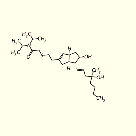 CCCC[C@](C)(O)C/C=C/[C@@H]1[C@H]2CC(CCSCC(=O)N(C(C)C)C(C)C)=C[C@H]2C[C@H]1O